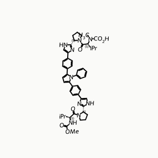 COC(=O)N[C@H](C(=O)N1CCC[C@H]1c1nc(-c2ccc(-c3ccc(-c4ccc(-c5c[nH]c([C@@H]6CCCN6C(=O)[C@H](C(C)C)N(C)C(=O)O)n5)cc4)n3-c3ccccc3)cc2)c[nH]1)C(C)C